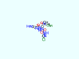 CN(C)C(=O)[C@H]1CC[C@H](NC(=O)C(=O)Nc2ccc(Cl)cn2)[C@H](NC(=O)c2cc3c(cn2)CNC3)C1.Cl